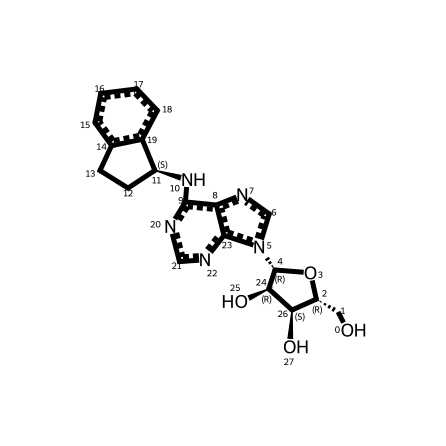 OC[C@H]1O[C@@H](n2cnc3c(N[C@H]4CCc5ccccc54)ncnc32)[C@H](O)[C@@H]1O